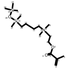 C=C(C)C(=O)OCC[N+](C)(C)CCCC[Si](C)(C)O[Si](C)(C)C